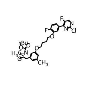 Cc1cc(CS(C)(=O)=NC(=O)OC(C)(C)C)cc(OCCCCOc2cc(-c3nc(Cl)ncc3F)ccc2F)c1